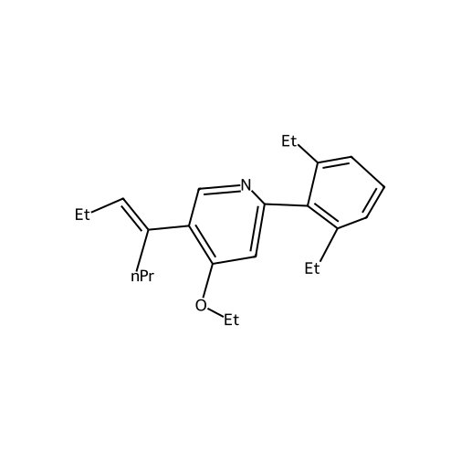 CC/C=C(\CCC)c1cnc(-c2c(CC)cccc2CC)cc1OCC